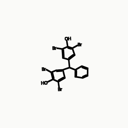 Oc1c(Br)cc(C(c2ccccc2)c2cc(Br)c(O)c(Br)c2)cc1Br